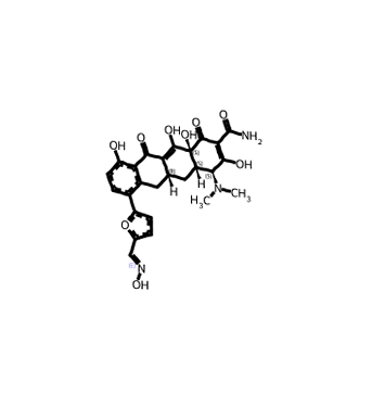 CN(C)[C@@H]1C(O)=C(C(N)=O)C(=O)[C@@]2(O)C(O)=C3C(=O)c4c(O)ccc(-c5ccc(/C=N/O)o5)c4C[C@H]3C[C@@H]12